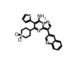 Nc1c(-c2cccs2)c(C2CCS(=O)(=O)CC2)nc2c(-c3cnc4ccccc4c3)cnn12